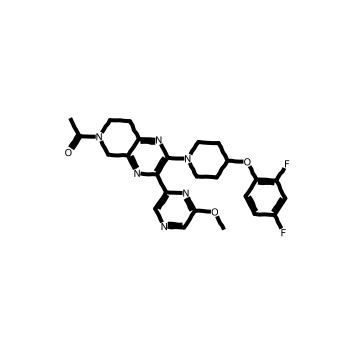 COc1cncc(-c2nc3c(nc2N2CCC(Oc4ccc(F)cc4F)CC2)CCN(C(C)=O)C3)n1